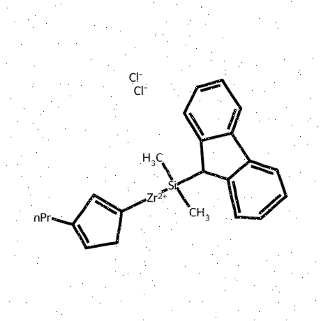 CCCC1=CC[C]([Zr+2][Si](C)(C)C2c3ccccc3-c3ccccc32)=C1.[Cl-].[Cl-]